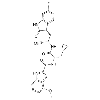 COc1cccc2[nH]c(C(=O)N[C@@H](CC3CC3)C(=O)N[C@H](C#N)C[C@H]3C(=O)Nc4cc(F)ccc43)cc12